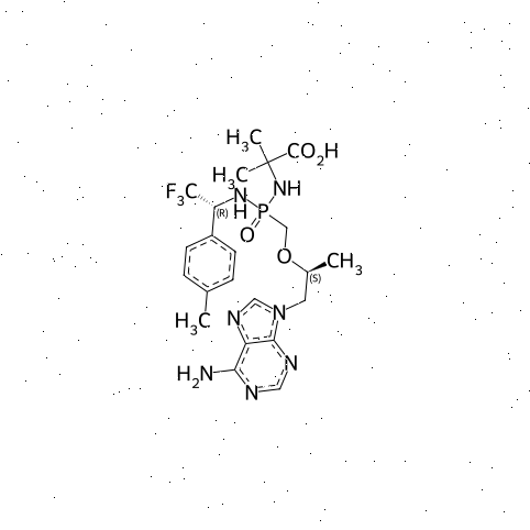 Cc1ccc([C@@H](NP(=O)(CO[C@@H](C)Cn2cnc3c(N)ncnc32)NC(C)(C)C(=O)O)C(F)(F)F)cc1